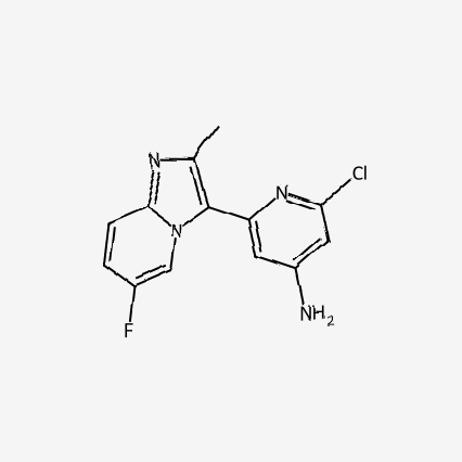 Cc1nc2ccc(F)cn2c1-c1cc(N)cc(Cl)n1